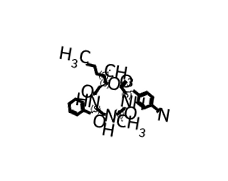 CCCC[C@H](C)[C@@H]1CC(=O)N[C@@H](CC2=CCCC=C2)C(=O)N[C@@H](C)C(=O)N[C@@H](Cc2ccc(C#N)cc2)C(=O)O1